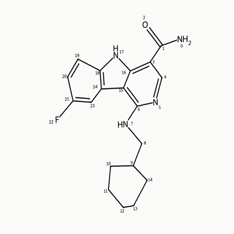 NC(=O)c1cnc(NCC2CCCCC2)c2c1[nH]c1ccc(F)cc12